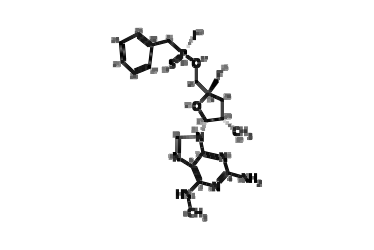 CNc1nc(N)nc2c1ncn2[C@@H]1O[C@](F)(CO[P@](=S)(I)Cc2ccccc2)C[C@@H]1C